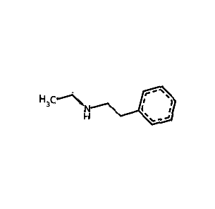 C[CH]NCCc1ccccc1